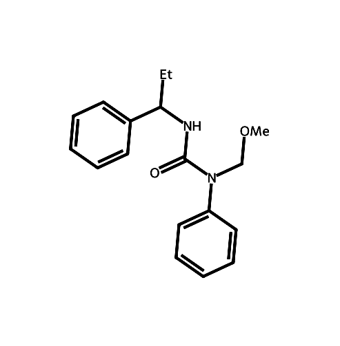 CCC(NC(=O)N(COC)c1ccccc1)c1ccccc1